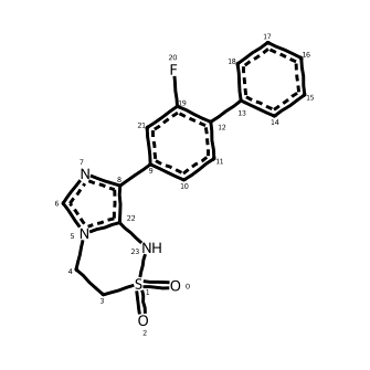 O=S1(=O)CCn2cnc(-c3ccc(-c4ccccc4)c(F)c3)c2N1